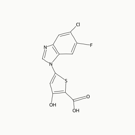 O=C(O)c1sc(-n2cnc3cc(Cl)c(F)cc32)cc1O